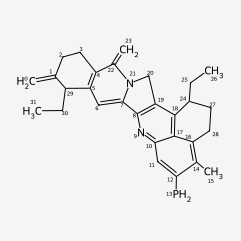 C=C1CCC2=C(C=C3c4nc5cc(P)c(C)c6c5c(c4CN3C2=C)C(CC)CC6)C1CC